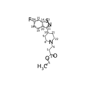 CCOC(=O)CCN1CCC(c2nsc3cc(F)ccc23)CC1